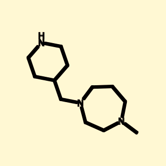 CN1CCCN(CC2CCNCC2)CC1